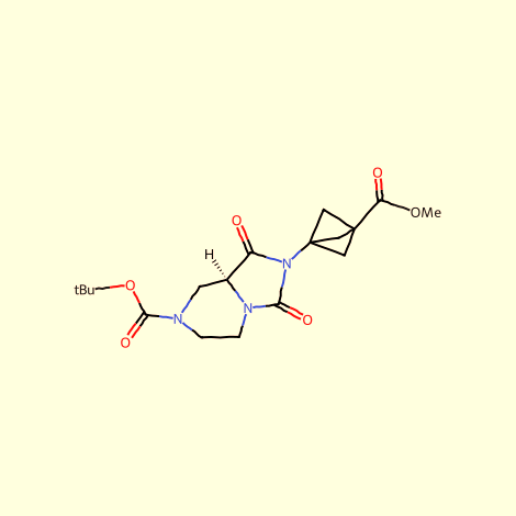 COC(=O)C12CC(N3C(=O)[C@@H]4CN(C(=O)OC(C)(C)C)CCN4C3=O)(C1)C2